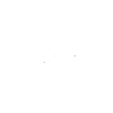 CCOC(=O)C(O)C(OC)(c1ccccc1)c1ccccc1